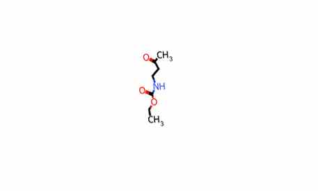 CCOC(=O)NCCC(C)=O